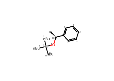 CCCC[Si](CCCC)(CCCC)O[C@@H](C)c1ccccc1